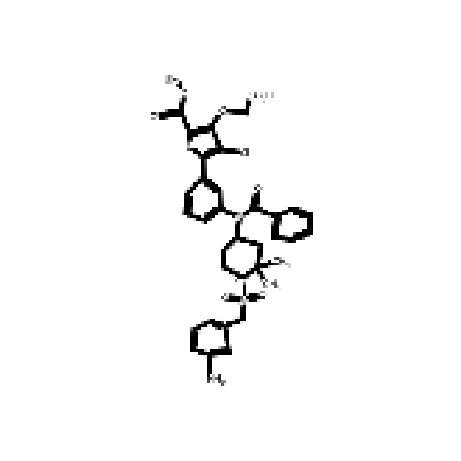 CC(C)(C)OC(=O)c1sc(-c2cccc(N(C(=O)c3ccccc3)C3CC[C@H](S(=O)(=O)Cc4cccc(N)c4)C(C)(C)C3)c2)c(Cl)c1OCC(=O)O